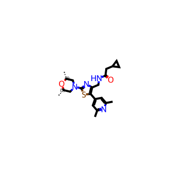 Cc1cc(-c2sc(N3C[C@@H](C)O[C@@H](C)C3)nc2CNC(=O)CC2CC2)cc(C)n1